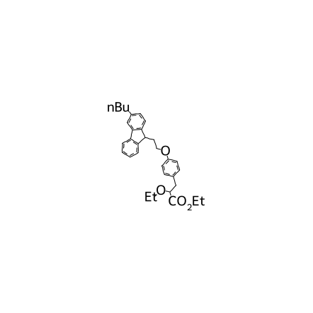 CCCCc1ccc2c(c1)-c1ccccc1C2CCOc1ccc(CC(OCC)C(=O)OCC)cc1